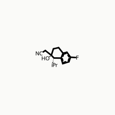 CC(C)[C@H]1c2ccc(F)cc2CC[C@]1(O)CC#N